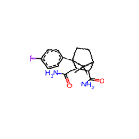 CC1(C)C2CCC1(c1ccc(I)cc1)C(C(N)=O)C2C(N)=O